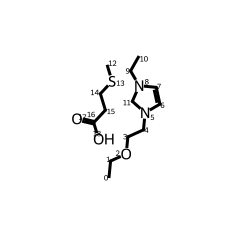 CCOCCN1C=CN(CC)C1.CSCCC(=O)O